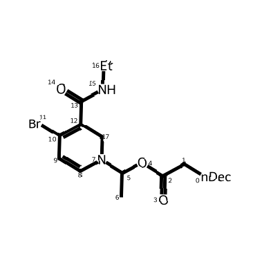 CCCCCCCCCCCC(=O)OC(C)N1C=CC(Br)=C(C(=O)NCC)C1